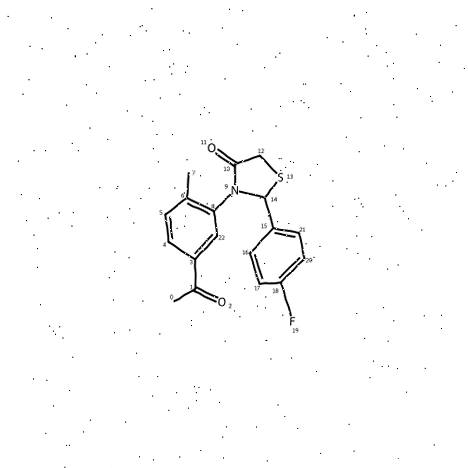 CC(=O)c1ccc(C)c(N2C(=O)CSC2c2ccc(F)cc2)c1